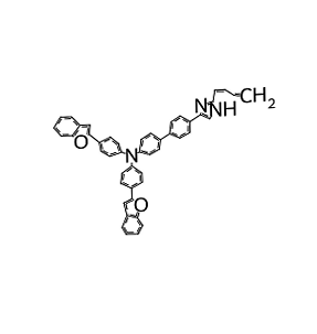 C=C/C=C\c1nc(-c2ccc(-c3ccc(N(c4ccc(-c5cc6ccccc6o5)cc4)c4ccc(-c5cc6ccccc6o5)cc4)cc3)cc2)c[nH]1